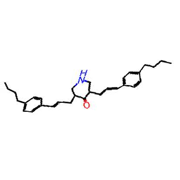 CCCCc1ccc(C=CCC2CNCC(CC=Cc3ccc(CCCC)cc3)C2=O)cc1